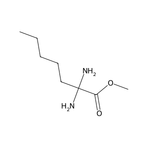 CCCCCC(N)(N)C(=O)OC